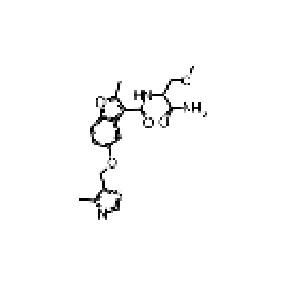 COCC(NC(=O)c1c(C)oc2ccc(OCc3scnc3C)cc12)C(N)=O